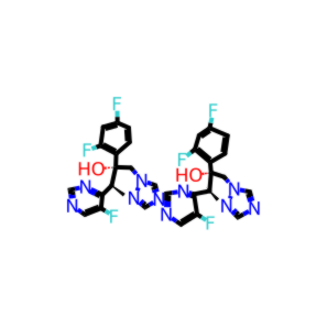 C[C@@H](c1ncncc1F)[C@](O)(Cn1cncn1)c1ccc(F)cc1F.C[C@@H](c1ncncc1F)[C@](O)(Cn1cncn1)c1ccc(F)cc1F